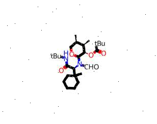 C[C@@H]1[C@H](C)COC(N(C=O)[C@H](C(=O)NC(C)(C)C)C2(C)CCCCC2)[C@H]1OC(=O)C(C)(C)C